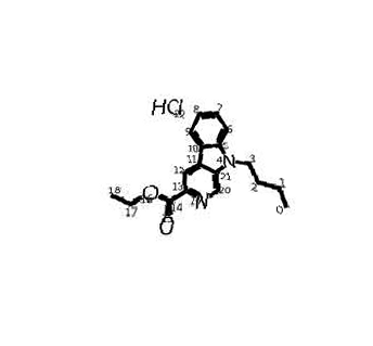 CCCCn1c2ccccc2c2cc(C(=O)OCC)ncc21.Cl